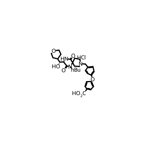 CCCCN1C(=O)[C@@H]([C@H](O)C2CCOCC2)NC(=O)C12CCN(Cc1ccc(Oc3ccc(C(=O)O)cc3)cc1)CC2.Cl